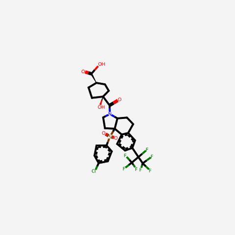 O=C(O)[C@H]1CC[C@](O)(C(=O)N2CCC3(S(=O)(=O)c4ccc(Cl)cc4)c4ccc(C(F)(C(F)(F)F)C(F)(F)F)cc4CCC23)CC1